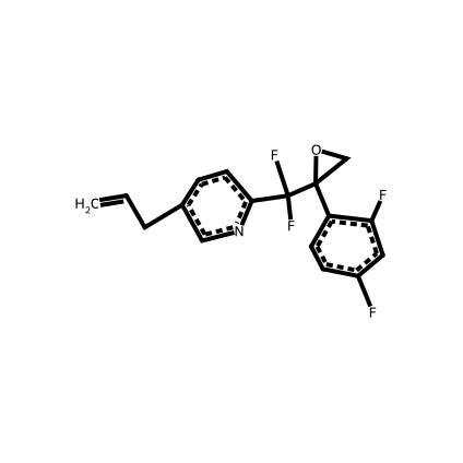 C=CCc1ccc(C(F)(F)C2(c3ccc(F)cc3F)CO2)nc1